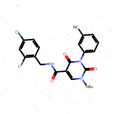 CCCCn1cc(C(=O)NCc2ccc(Cl)cc2Cl)c(=O)n(-c2cccc(C#N)c2)c1=O